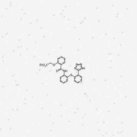 CCOC(=O)COc1ccccc1C(=O)Nc1ccccc1Sc1ccccc1-c1nnn[nH]1